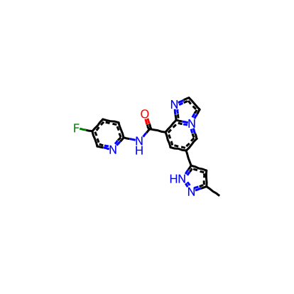 Cc1cc(-c2cc(C(=O)Nc3ccc(F)cn3)c3nccn3c2)[nH]n1